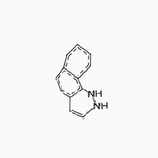 [C]1=Cc2ccc3ccccc3c2NN1